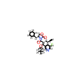 C#CCC[C@@H](C(=O)N1C(=O)OC[C@@H]1Cc1ccccc1)[C@H](O[Si](C)(C)C(C)(C)C)c1cncc(F)c1